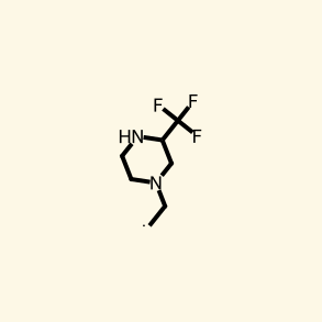 [CH2]CN1CCNC(C(F)(F)F)C1